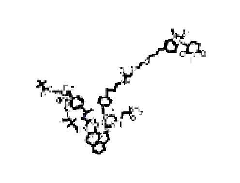 C/C(=C\C(=O)N[C@H]1CCc2cccc3c2N(C1=O)[C@H](C(=O)N[C@@H](CCC(N)=O)[C@@H](C)OCc1ccc(CCCNC(=O)COCCOCCCc2ccc4c(c2)n(C)c(=O)n4C2CCC(=O)NC2=O)cc1)C3)c1ccc(C(F)(F)P(=O)(OCOC(=O)C(C)(C)C)OCOC(=O)C(C)(C)C)cc1